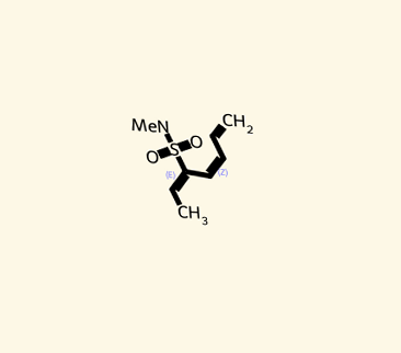 C=C/C=C\C(=C/C)S(=O)(=O)NC